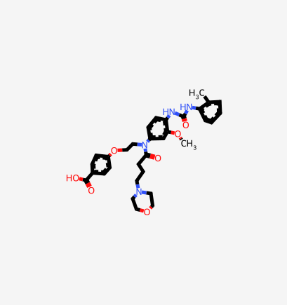 COc1cc(N(CCOc2ccc(C(=O)O)cc2)C(=O)CCCN2CCOCC2)ccc1NC(=O)Nc1ccccc1C